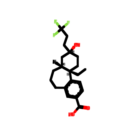 CC[C@]12CC[C@@](O)(CCC(F)(F)F)C[C@H]1CCCc1cc(C(=O)O)ccc12